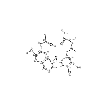 COC(=O)[C@H](C)N(C)Cc1cc(F)c(Cl)cc1Nc1ncnc2cc(OC)c(OC(C)=O)cc12